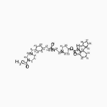 CC(=O)N1CCCN(Cc2ccc(CCC(=O)NCCN3CCC(OC(=O)Nc4ccccc4-c4ccccc4)CC3)cc2)CC1